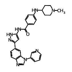 CN1CCC(Nc2ccc(C(=O)Nc3cc(-c4ccc5ncn(-c6cccnc6)c5c4)n[nH]3)cc2)CC1